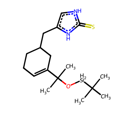 CC(C)(C)[SiH2]OC(C)(C)C1=CCCC(Cc2c[nH]c(=S)[nH]2)C1